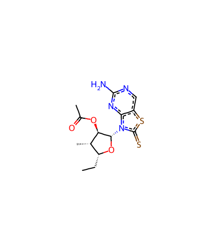 CC[C@H]1O[C@@H](n2c(=S)sc3cnc(N)nc32)[C@H](OC(C)=O)[C@H]1C